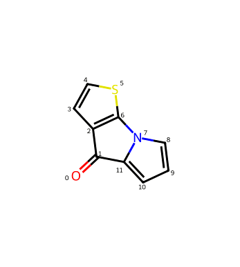 O=C1c2ccsc2-n2cccc21